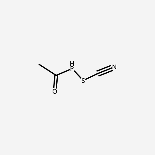 CC(=O)PSC#N